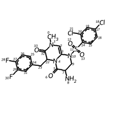 CN1C=C2N(C(=O)C(N)CN2S(=O)(=O)c2ccc(Cl)cc2Cl)C(Cc2ccc(F)c(F)c2)C1=O